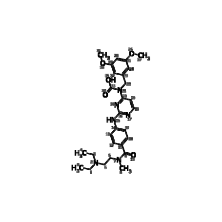 CCN(CC)CCN(C)C(=O)c1ccc(Nc2nccc(N(Cc3cc(OC)cc(OC)c3)C(=O)O)n2)cc1